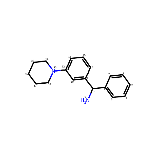 NC(c1ccccc1)c1cccc(N2CCCCC2)c1